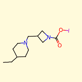 CCC1CCN(CC2CN(C(=O)OI)C2)CC1